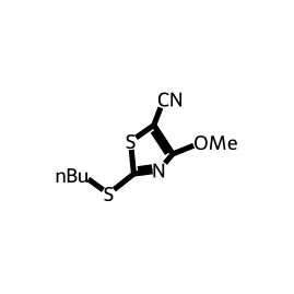 CCCCSc1nc(OC)c(C#N)s1